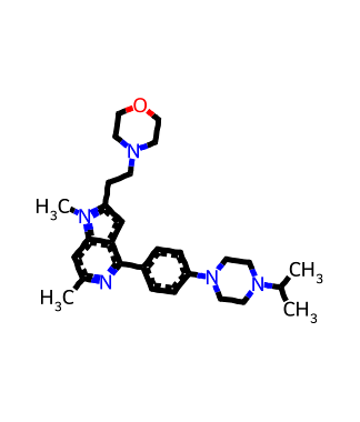 Cc1cc2c(cc(CCN3CCOCC3)n2C)c(-c2ccc(N3CCN(C(C)C)CC3)cc2)n1